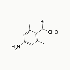 Cc1cc(N)cc(C)c1C(Br)C=O